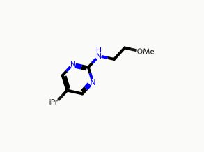 COCCNc1ncc(C(C)C)cn1